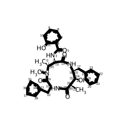 C[C@@H]1[C@H](NC(=O)c2ccccc2O)C(=O)N[C@@H](Cc2ccccc2)[C@@H](O)[C@@H](C)C(=O)NC(Cc2ccccc2)C(=O)N1C